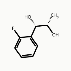 C[C@H](O)[C@@H](O)c1ccccc1F